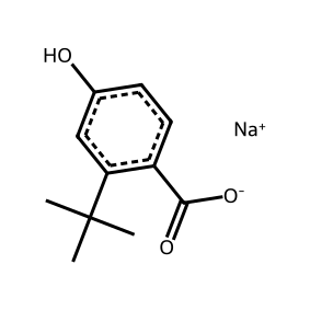 CC(C)(C)c1cc(O)ccc1C(=O)[O-].[Na+]